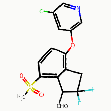 CS(=O)(=O)c1ccc(Oc2cncc(Cl)c2)c2c1C(C=O)C(F)(F)C2